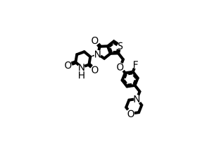 O=C1CC[C@H](N2Cc3c(csc3COc3ccc(CN4CCOCC4)cc3F)C2=O)C(=O)N1